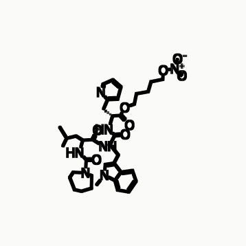 CC(C)CC(NC(=O)N1CCCCCC1)C(=O)NC(Cc1cn(C)c2ccccc12)C(=O)N[C@H](Cc1ccccn1)C(=O)OCCCCCO[N+](=O)[O-]